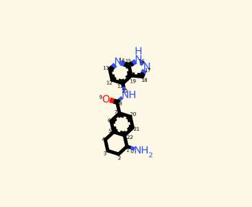 NC1CCCc2cc(C(=O)Nc3ccnc4[nH]ncc34)ccc21